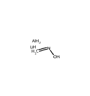 C=NO.[AlH3].[LiH]